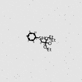 CCOC(C[SiH2]c1ccccc1)(OCC)OCC